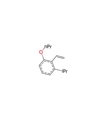 [CH2]C(C)c1cccc(OCCC)c1C=C